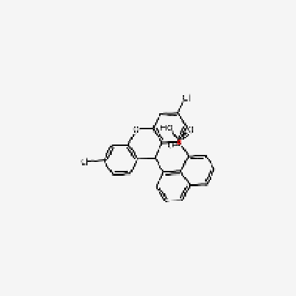 O=S(=O)(O)c1cccc2cccc(C3c4ccc(Cl)cc4Oc4cc(Cl)ccc43)c12